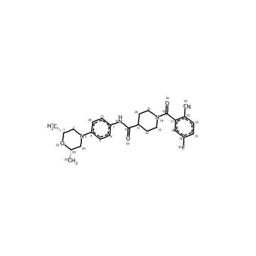 C[C@@H]1CN(c2ccc(NC(=O)C3CCN(C(=O)c4cc(F)ccc4C#N)CC3)cc2)C[C@H](C)O1